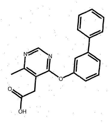 Cc1ncnc(Oc2cccc(-c3ccccc3)c2)c1CC(=O)O